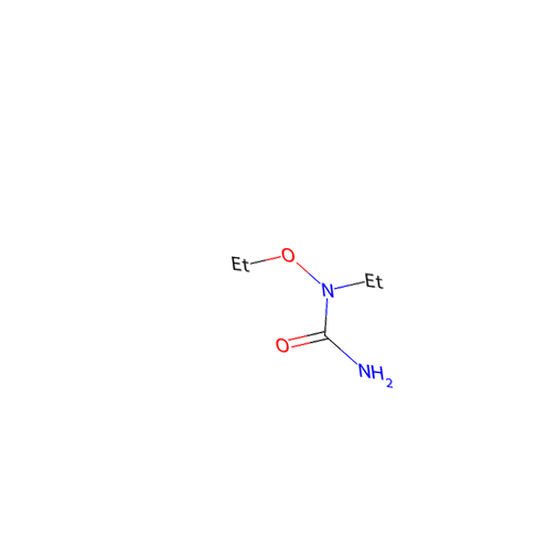 CCON(CC)C(N)=O